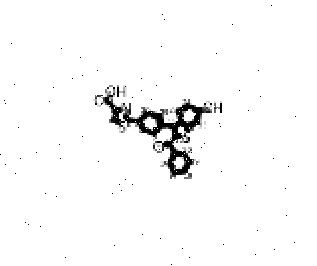 O=C(O)c1csc(-c2ccc(-c3c(C(=O)c4ccccc4)sc4cc(O)ccc34)cc2)n1